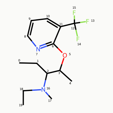 CCC(C(C)Oc1ncccc1C(F)(F)F)N(C)CC